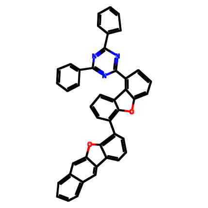 c1ccc(-c2nc(-c3ccccc3)nc(-c3cccc4oc5c(-c6cccc7c6oc6cc8ccccc8cc67)cccc5c34)n2)cc1